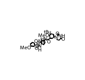 COc1ccc(OC)c(S(=O)(=O)Nc2ccc(NC(=O)c3cc(N4CCC(=O)NC4=O)cc(C(C)(C)C)c3OC)cc2)c1